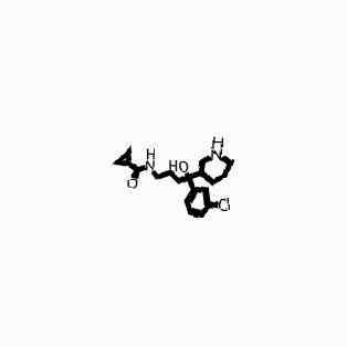 O=C(NCCCC(O)(c1cccc(Cl)c1)C1CCCNC1)C1CC1